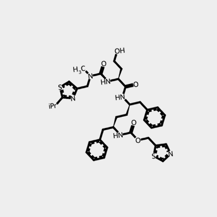 CC(C)c1nc(CN(C)C(=O)N[C@@H](CCO)C(=O)N[C@H](CC[C@H](Cc2ccccc2)NC(=O)OCc2cncs2)Cc2ccccc2)cs1